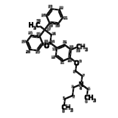 CCCCN(CC)CCOc1ccc(C(=O)CC(C)(c2ccccc2)c2ccccc2)cc1C